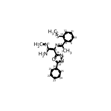 C=N/C(N)=C(\N=C(/C)c1ccccc1SC)c1nnc(-c2ccccc2)o1